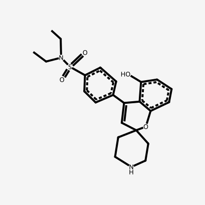 CCN(CC)S(=O)(=O)c1ccc(C2=CC3(CCNCC3)Oc3cccc(O)c32)cc1